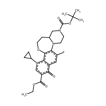 CCOC(=O)c1cn(C2CC2)c2c3c(c(F)cc2c1=O)N1CCN(C(=O)OC(C)(C)C)CC1CCO3